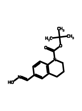 CC(C)(C)OC(=O)N1CCCc2cc(C=NO)ccc21